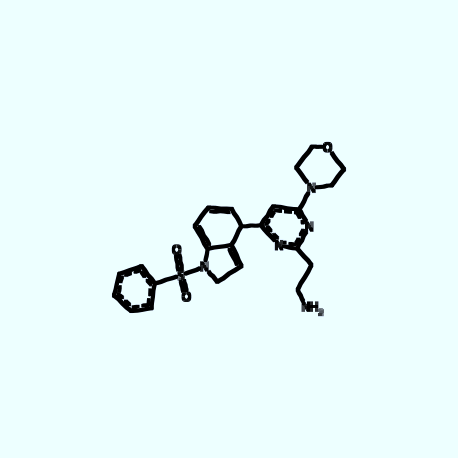 NCCc1nc(C2C=CC=C3C2=CCN3S(=O)(=O)c2ccccc2)cc(N2CCOCC2)n1